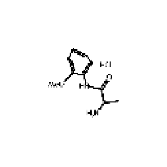 COc1ccccc1NC(=O)C(C)N.Cl